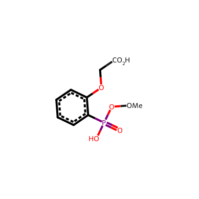 COOP(=O)(O)c1ccccc1OCC(=O)O